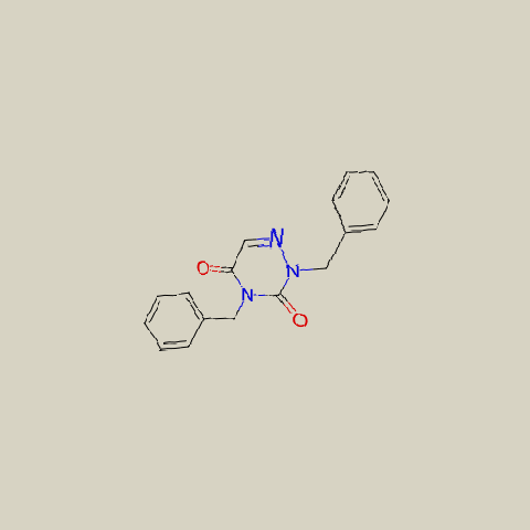 O=c1cnn(Cc2ccccc2)c(=O)n1Cc1ccccc1